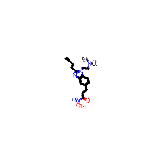 C#CCCc1nc2cc(C=CC(=O)NO)ccc2n1CCN(CC)CC